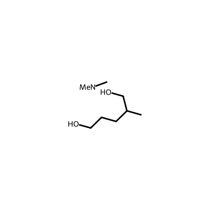 CC(CO)CCCO.CNC